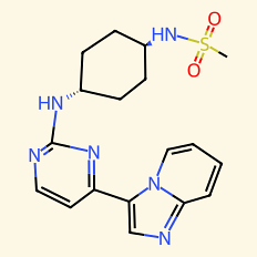 CS(=O)(=O)N[C@H]1CC[C@H](Nc2nccc(-c3cnc4ccccn34)n2)CC1